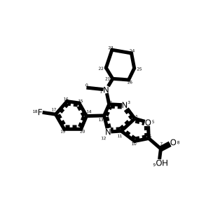 CN(c1nc2oc(C(=O)O)cc2nc1-c1ccc(F)cc1)C1CCCCC1